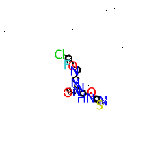 O=C(Nc1ccc2ncsc2c1)c1ccc2c(c1)nc(CN1CCC(c3cccc(OCc4ccc(Cl)cc4F)n3)CC1)n2C[C@@H]1CCO1